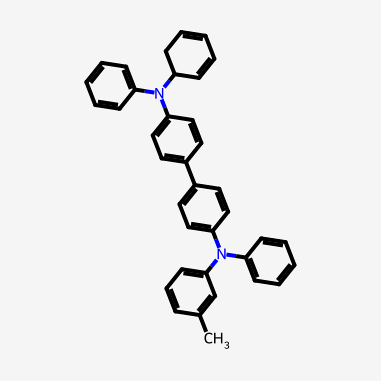 Cc1cccc(N(c2ccccc2)c2ccc(-c3ccc(N(c4ccccc4)C4C=CC=CC4)cc3)cc2)c1